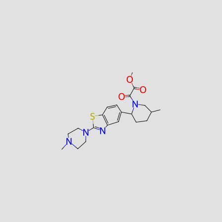 COC(=O)C(=O)N1CC(C)CCC1c1ccc2sc(N3CCN(C)CC3)nc2c1